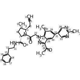 C#CC[C@@H]1[C@@H](C)C[C@@H](C(=O)NCCc2ccccc2)N1C(=O)Cn1nc(C(C)=O)c2cc(-c3cnc(C)nc3)cc(C)c21